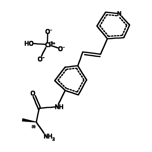 C[C@H](N)C(=O)Nc1ccc(C=Cc2ccncc2)cc1.[O-][Cl+3]([O-])([O-])O